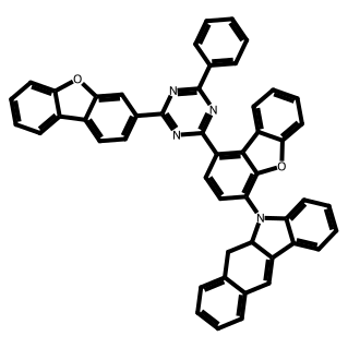 C1=C2c3ccccc3N(c3ccc(-c4nc(-c5ccccc5)nc(-c5ccc6c(c5)oc5ccccc56)n4)c4c3oc3ccccc34)C2Cc2ccccc21